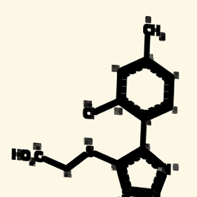 Cc1ccc(-c2nnsc2SCC(=O)O)c(Cl)c1